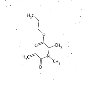 C=CC(=O)N(C)C(C)C(=O)OCCC